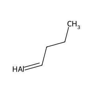 CCC[CH]=[AlH]